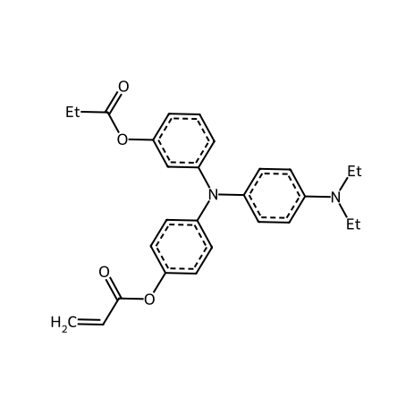 C=CC(=O)Oc1ccc(N(c2ccc(N(CC)CC)cc2)c2cccc(OC(=O)CC)c2)cc1